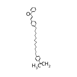 C=C(C)c1ccc(CCCCCCCCCCCCc2ccc(C=CC(=O)c3ccccc3)cc2)cc1